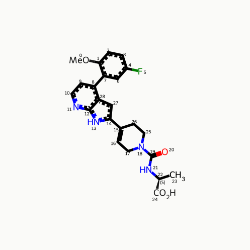 COc1ccc(F)cc1-c1ccnc2[nH]c(C3=CCN(C(=O)N[C@@H](C)C(=O)O)CC3)cc12